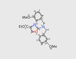 CCOC(=O)c1coc(N(Cc2cccc(OC)c2)Cc2cccc(OC)c2)n1